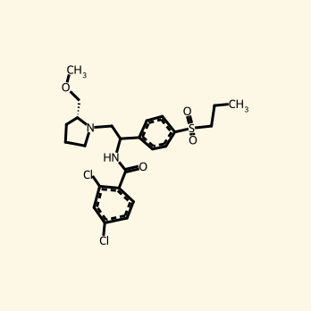 CCCS(=O)(=O)c1ccc(C(CN2CCC[C@@H]2COC)NC(=O)c2ccc(Cl)cc2Cl)cc1